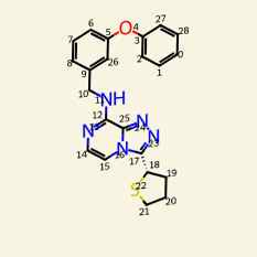 c1ccc(Oc2cccc(CNc3nccn4c([C@@H]5CCCS5)nnc34)c2)cc1